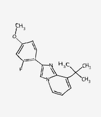 COc1ccc(-c2cn3cccc(C(C)(C)C)c3n2)c(F)c1